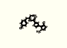 Cn1nnc(Cl)c1-c1csc(C(=O)NC(CN)Cc2ccc(Cl)cc2)c1